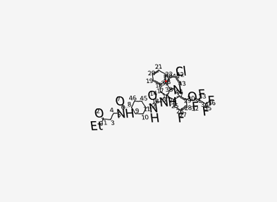 CCC(=O)CCNC(=O)[C@H]1CC[C@@H](NC(=O)N[C@@](Cc2ccccc2)(c2cc(F)cc(OC(F)(F)C(F)F)c2)c2ccc(Cl)cn2)CC1